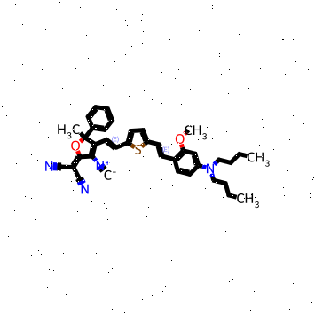 [C-]#[N+]C1=C(/C=C/c2ccc(/C=C/c3ccc(N(CCCC)CCCC)cc3OC)s2)C(C)(c2ccccc2)OC1=C(C#N)C#N